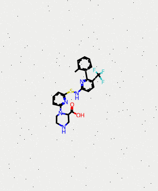 Cc1ccccc1-c1nc(NSc2cccc(N3CCNCC3C(=O)O)n2)ccc1C(F)(F)F